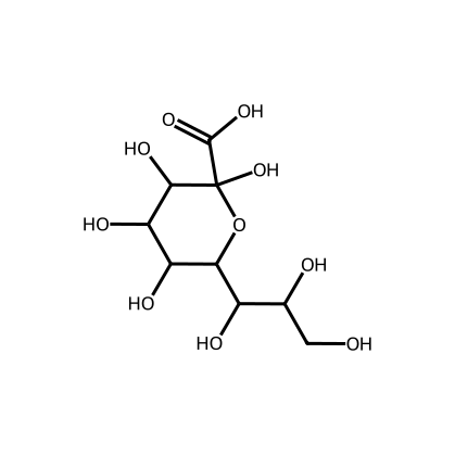 O=C(O)C1(O)OC(C(O)C(O)CO)C(O)C(O)C1O